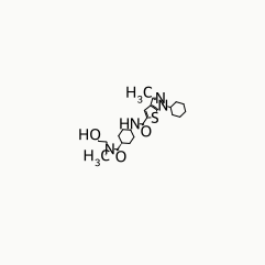 Cc1nn(C2CCCCC2)c2sc(C(=O)N[C@H]3CC[C@H](C(=O)N(C)CCO)CC3)cc12